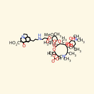 CC[C@H]1OC(=O)[C@H](C)[C@@H](O[C@H]2C[C@@](C)(OC)[C@@H](OC(=O)CCNCCCc3cc4c5c(c3)c(=O)c(C(=O)O)cn5CC4)[C@H](C)O2)[C@H](C)[C@@H](O[C@@H]2O[C@H](C)C[C@H](N(C)C)[C@H]2O)[C@](C)(O)C[C@@H](C)CN(C)C[C@@H]2OC(=O)O[C@@]21C